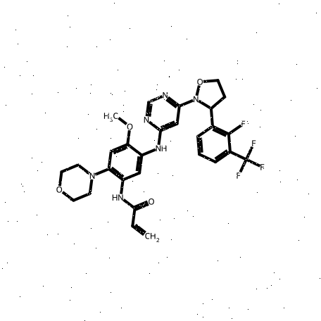 C=CC(=O)Nc1cc(Nc2cc(N3OCCC3c3cccc(C(F)(F)F)c3F)ncn2)c(OC)cc1N1CCOCC1